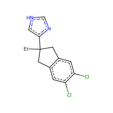 CCC1(c2c[nH]cn2)Cc2cc(Cl)c(Cl)cc2C1